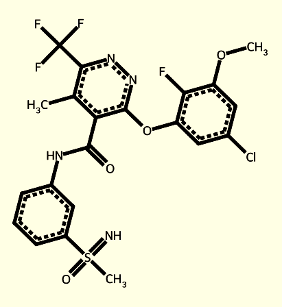 COc1cc(Cl)cc(Oc2nnc(C(F)(F)F)c(C)c2C(=O)Nc2cccc(S(C)(=N)=O)c2)c1F